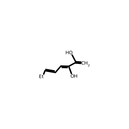 C=C(O)C(O)=CC=CCC